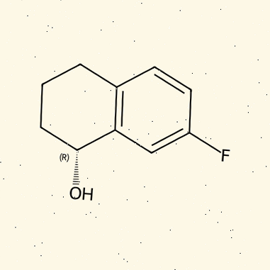 O[C@@H]1CCCc2ccc(F)cc21